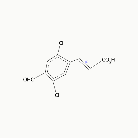 O=Cc1cc(Cl)c(/C=C/C(=O)O)cc1Cl